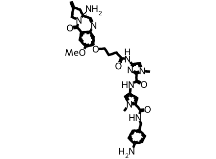 C=C1CN2C(=O)c3cc(OC)c(OCCCC(=O)Nc4cn(C)c(C(=O)Nc5cc(C(=O)NCc6ccc(N)cc6)n(C)c5)n4)cc3N=C[C@]2(N)C1